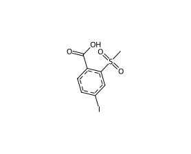 CS(=O)(=O)c1cc(I)ccc1C(=O)O